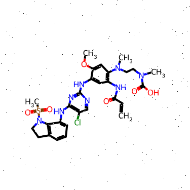 C=CC(=O)Nc1cc(Nc2ncc(Cl)c(Nc3cccc4c3N(S(C)(=O)=O)CC4)n2)c(OC)cc1N(C)CCN(C)C(=O)O